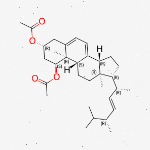 CC(=O)O[C@@H]1CC2=CC=C3[C@@H]4CC[C@H]([C@H](C)C=C[C@H](C)C(C)C)[C@@]4(C)CC[C@@H]3[C@@]2(C)[C@@H](OC(C)=O)C1